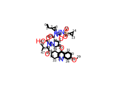 C=CC1CC1N(C(=O)NS(=O)(=O)C1CC1)C(=O)[C@@H]1C[C@@H](Oc2c3c(nc4cc(OC)ccc24)CCCC3)CN1N(C(=O)O)[C@H](C=O)C(C)C